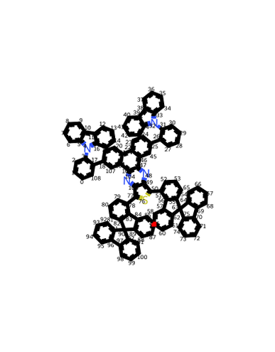 c1ccc(-n2c3ccccc3c3ccccc32)c(-c2ccc3c4ccc(-c5ccccc5-n5c6ccccc6c6ccccc65)cc4c4nc5c(-c6cccc7c6-c6ccccc6C76c7ccccc7-c7ccccc76)sc(-c6cccc7c6-c6ccccc6C76c7ccccc7-c7ccccc76)c5nc4c3c2)c1